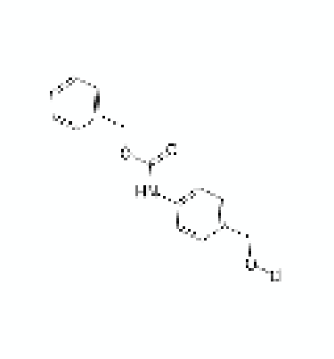 O=C(Nc1ccc(COCl)cc1)OCc1ccccc1